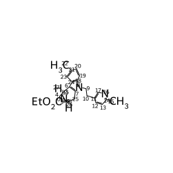 CCOC(=O)N1[C@@H]2CC[C@H]1c1c(n(CCc3ccc(C)nc3)c3ccc(C)cc13)C2